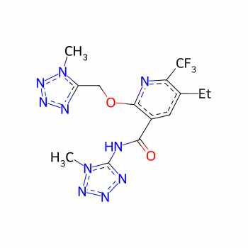 CCc1cc(C(=O)Nc2nnnn2C)c(OCc2nnnn2C)nc1C(F)(F)F